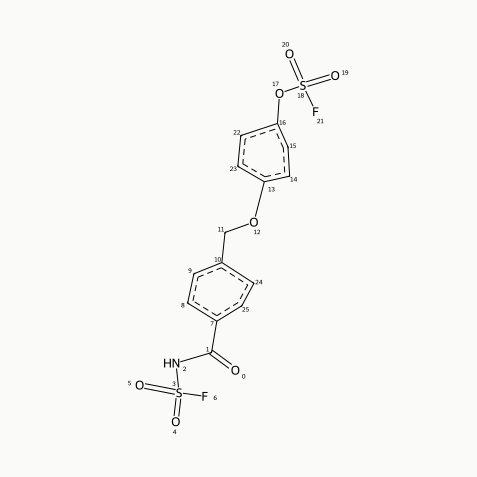 O=C(NS(=O)(=O)F)c1ccc(COc2ccc(OS(=O)(=O)F)cc2)cc1